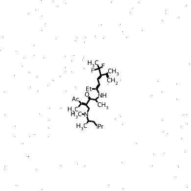 C=C(C)/C(=C\C=C(/CC)NC(C)C(=O)/C(CN(C)C(C)CC(C)C)=C(/C)C(C)=O)C(C)(F)F